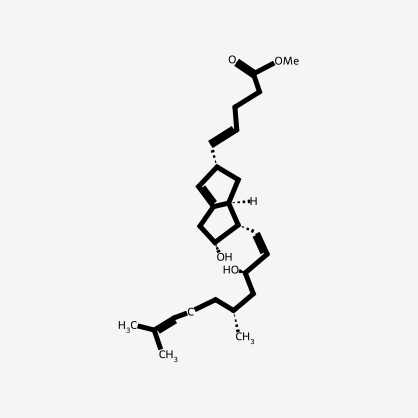 COC(=O)CCC=C[C@H]1C=C2C[C@@H](O)[C@@H](/C=C\[C@@H](O)C[C@H](C)CCC=C(C)C)[C@@H]2C1